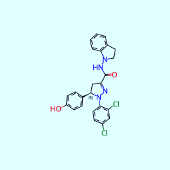 O=C(NN1CCc2ccccc21)C1=NN(c2ccc(Cl)cc2Cl)[C@@H](c2ccc(O)cc2)C1